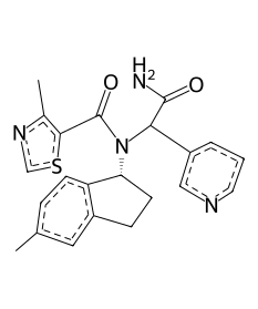 Cc1ccc2c(c1)CC[C@H]2N(C(=O)c1scnc1C)C(C(N)=O)c1cccnc1